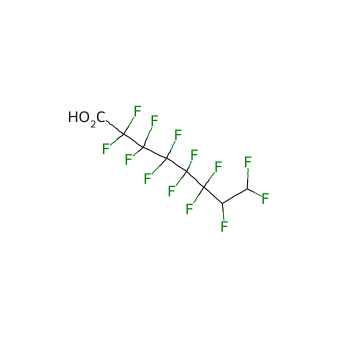 O=C(O)C(F)(F)C(F)(F)C(F)(F)C(F)(F)C(F)(F)C(F)C(F)F